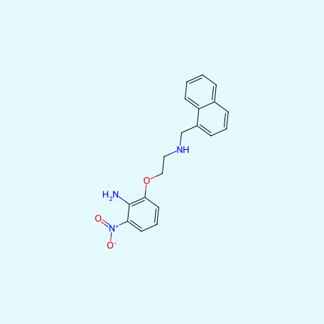 Nc1c(OCCNCc2cccc3ccccc23)cccc1[N+](=O)[O-]